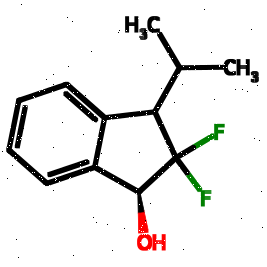 CC(C)C1c2ccccc2[C@H](O)C1(F)F